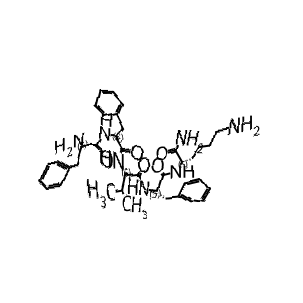 CC(C)[C@H](NC(=O)[C@H](Cc1ccccc1)NC(=O)[C@@H](N)Cc1ccccc1)C(=O)N[C@@H](Cc1ccccc1)C(=O)N[C@@H](CCCCN)C(N)=O